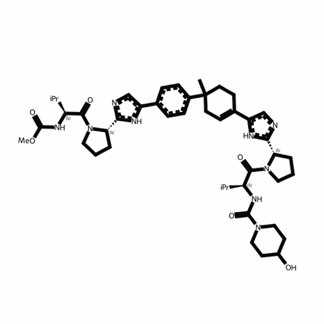 COC(=O)N[C@H](C(=O)N1CCC[C@H]1c1ncc(-c2ccc(C3(C)CC=C(c4cnc([C@@H]5CCCN5C(=O)[C@@H](NC(=O)N5CCC(O)CC5)C(C)C)[nH]4)CC3)cc2)[nH]1)C(C)C